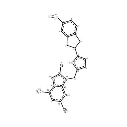 CCOC(=O)c1ccc2c(c1)CC(c1ccc(Cn3c(CC)nc4c(C)cc(C)nc43)s1)C2